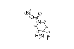 CC(C)(C)OC(=O)N1CCC(N)(CF)CC1